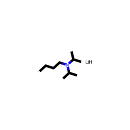 [CH2]CCCN(C(C)C)C(C)C.[LiH]